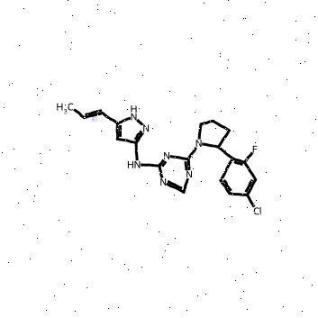 C/C=C/c1cc(Nc2ncnc(N3CCCC3c3ccc(Cl)cc3F)n2)n[nH]1